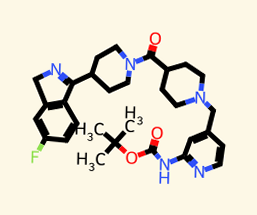 CC(C)(C)OC(=O)Nc1cc(CN2CCC(C(=O)N3CCC(C4=NCc5cc(F)ccc54)CC3)CC2)ccn1